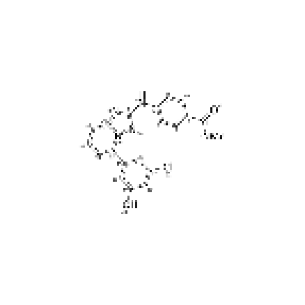 CNC(=O)c1ccc(Nc2nc3cccc(-c4cc(O)cc(Cl)c4)n3n2)cc1